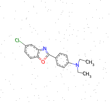 CCN(CC)c1ccc(-c2nc3cc(Cl)ccc3o2)cc1